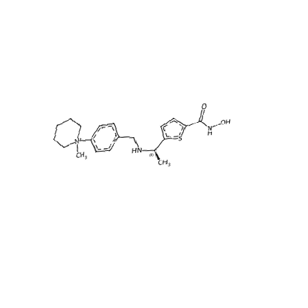 C[C@@H](NCc1ccc([N+]2(C)CCCCC2)cc1)c1ccc(C(=O)NO)s1